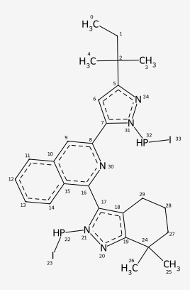 CCC(C)(C)c1cc(-c2cc3ccccc3c(-c3c4c(nn3PI)C(C)(C)CCC4)n2)n(PI)n1